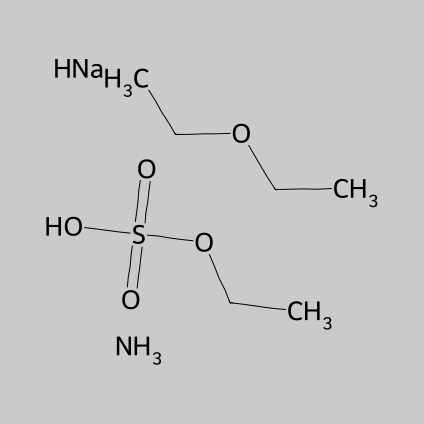 CCOCC.CCOS(=O)(=O)O.N.[NaH]